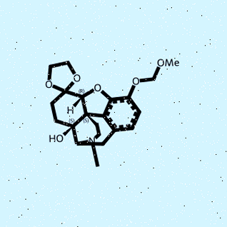 COCOc1ccc2c3c1O[C@H]1C4(CC[C@@]5(O)C(C2)N(C)CC[C@]315)OCCO4